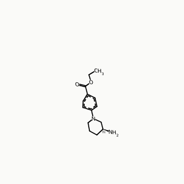 CCOC(=O)c1ccc(N2CCC[C@H](N)C2)cc1